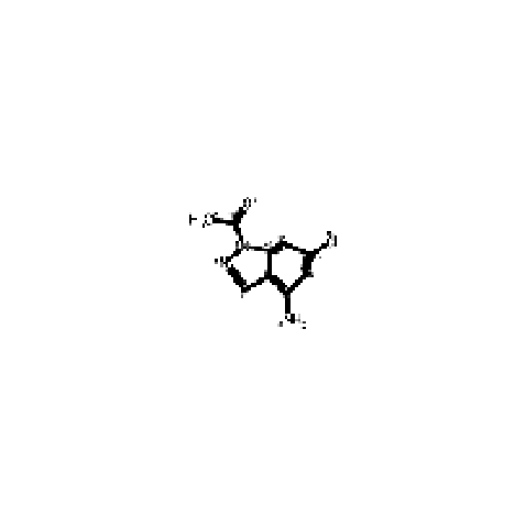 CC(=O)n1ncc2c(N)cc(Cl)cc21